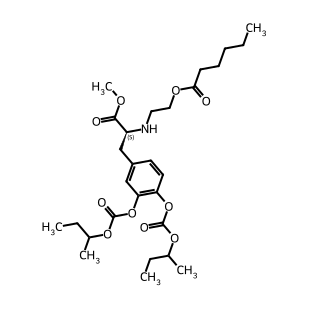 CCCCCC(=O)OCCN[C@@H](Cc1ccc(OC(=O)OC(C)CC)c(OC(=O)OC(C)CC)c1)C(=O)OC